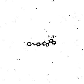 NSc1ccc(-c2cnn3cc(-c4ccc(CCN5CCCCC5)cc4)cnc23)c2ccccc12